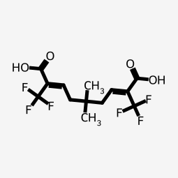 CC(C)(CC=C(C(=O)O)C(F)(F)F)CC=C(C(=O)O)C(F)(F)F